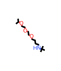 CC(C)OCCOCCOCCCCNC(C)(C)C